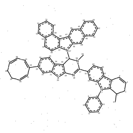 CC1CC=Cc2c1n(-c1ccccc1)c1cc(C3=Nc4sc5cc(C6=C/C=C\CC/C=C\6)ccc5c4C(n4c5cc6ccccc6cc5c5c6ccccc6ccc54)N3C)ccc21